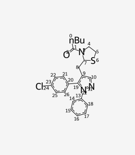 CCCCC(=O)N1CCSC1Cc1cnn(-c2ccccc2)c1-c1ccc(Cl)cc1